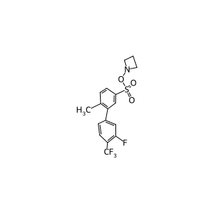 Cc1ccc(S(=O)(=O)ON2CCC2)cc1-c1ccc(C(F)(F)F)c(F)c1